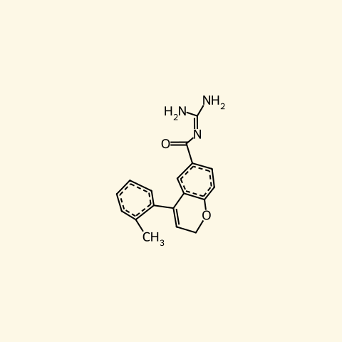 Cc1ccccc1C1=CCOc2ccc(C(=O)N=C(N)N)cc21